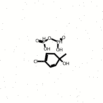 CC1(O)C=CC(Cl)=CC1.O=[PH](O)O[PH](=O)O